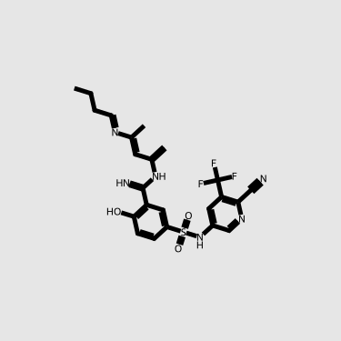 C=C(/C=C(C)/N=C/CCC)NC(=N)c1cc(S(=O)(=O)Nc2cnc(C#N)c(C(F)(F)F)c2)ccc1O